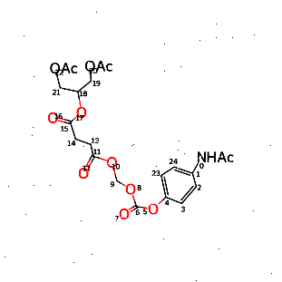 CC(=O)Nc1ccc(OC(=O)OCOC(=O)CCC(=O)OC(COC(C)=O)COC(C)=O)cc1